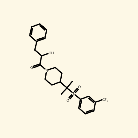 CC(C)(C1CCN(C(=O)C(O)Cc2ccccc2)CC1)S(=O)(=O)c1cccc(C(F)(F)F)c1